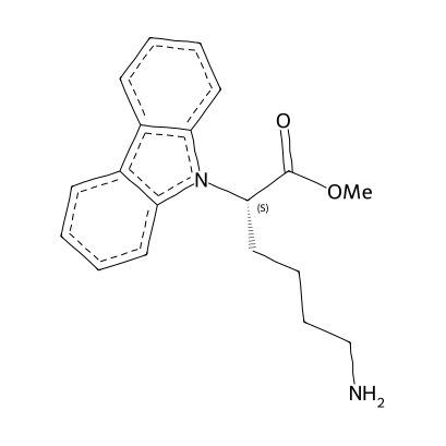 COC(=O)[C@H](CCCCN)n1c2ccccc2c2ccccc21